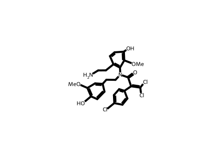 COc1cc(CCN(C(=O)C(=C(Cl)Cl)c2ccc(Cl)cc2)c2c(CCN)ccc(O)c2OC)ccc1O